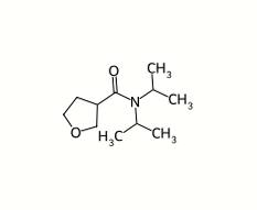 CC(C)N(C(=O)C1CCOC1)C(C)C